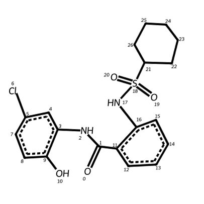 O=C(Nc1cc(Cl)ccc1O)c1ccccc1NS(=O)(=O)C1CCCCC1